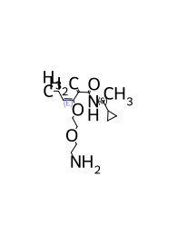 C=C(C(=O)N[C@@H](C)C1CC1)/C(=C\CC)OCCOCCN